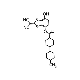 CC1CCC(C2CCC(C(=O)Oc3ccc(O)c4c3SC(=C(C#N)C#N)S4)CC2)CC1